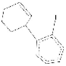 Ic1ccccc1C1C=CCCC1